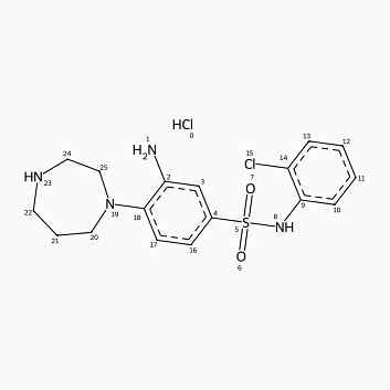 Cl.Nc1cc(S(=O)(=O)Nc2ccccc2Cl)ccc1N1CCCNCC1